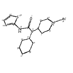 CC(=O)N1CCC(N(C(=O)Nc2nccs2)C2CCCCC2)CC1